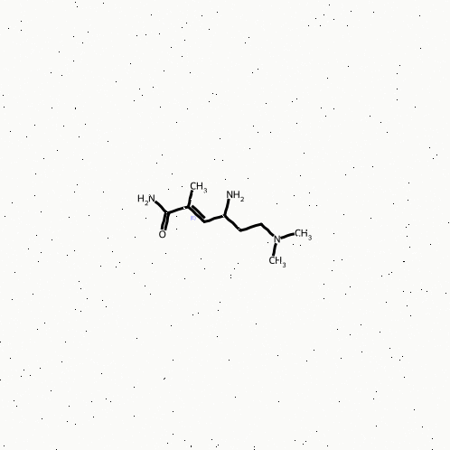 C/C(=C\C(N)CCN(C)C)C(N)=O